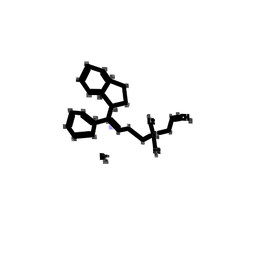 C=CC[N+](CC)(CC)CC/C=C(/c1ccccc1)C1CCc2ccccc21.[Br-]